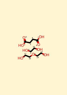 O=C(O)CCC(=O)O.OCCO.OCCOCCO